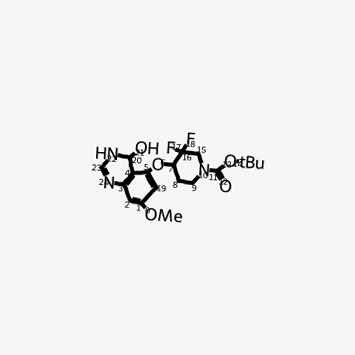 COc1cc2c(c(OC3CCN(C(=O)OC(C)(C)C)CC3(F)F)c1)C(O)NC=N2